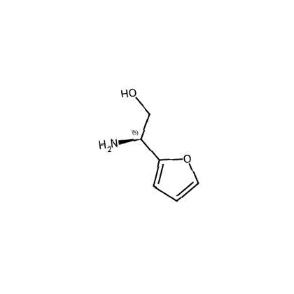 N[C@@H](CO)c1ccco1